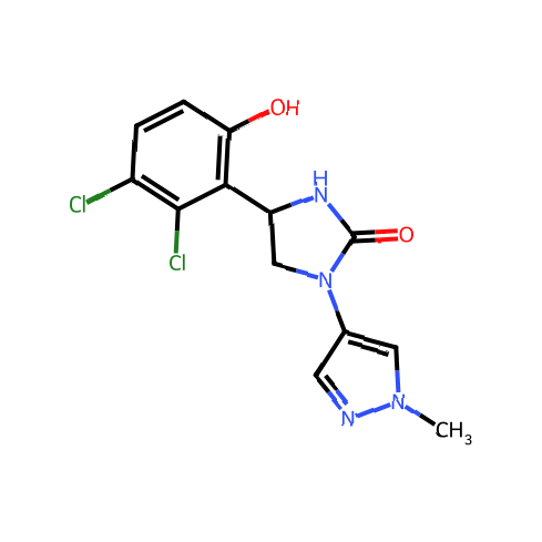 Cn1cc(N2CC(c3c(O)ccc(Cl)c3Cl)NC2=O)cn1